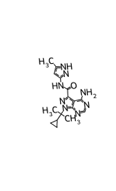 Cc1cc(NC(=O)c2nn(C(C)(C)C3CC3)c3ncnc(N)c23)n[nH]1